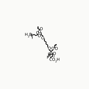 BP(I)CCC(=O)OC(COCCCCCCOCC(COC(=O)C=C)OC(=O)CC(C(=O)O)P(B)I)COC(=O)C=C